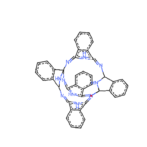 c1ccc2c(c1)C1/N=c3\[nH]/c(c4ccccc34)=N\C34/N=c5\[nH]/c(c6ccccc56)=N\C2(/N=c2\[nH]/c(c5ccccc25)=N\C(N3)c2ccccc24)N1